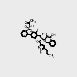 CCCc1cc(C(=O)N(Cc2c(F)cc(-c3ccccc3S(=O)(=O)NC(C)=O)cc2F)[C@H](Cc2ccccc2)[C@@H](O)C(=O)O)n[nH]1